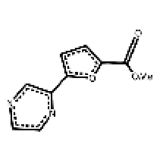 COC(=O)c1ccc(-c2cnccn2)o1